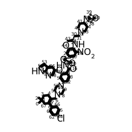 CC1(C)CCC(CN2CCN(c3ccc(C(=O)NS(=O)(=O)c4cc5c(c([N+](=O)[O-])c4)N[C@H](CCN4CCC(N=S(C)(C)=O)CC4)CO5)c(Oc4cnc5[nH]ccc5c4)c3)CC2)=C(c2ccc(Cl)cc2)C1